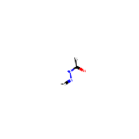 [CH]=NNC(=O)CC